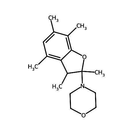 Cc1cc(C)c2c(c1C)OC(C)(N1CCOCC1)C2C